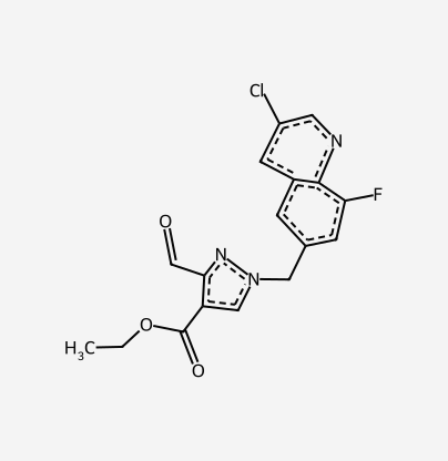 CCOC(=O)c1cn(Cc2cc(F)c3ncc(Cl)cc3c2)nc1C=O